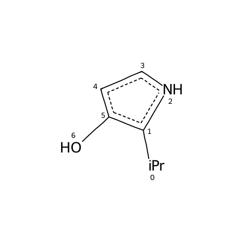 CC(C)c1[nH]ccc1O